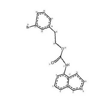 O=C(Nc1cccc2cnccc12)OCCc1cccc(Br)c1